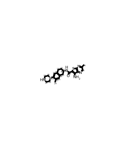 Cc1cnc2c(N)c(C(=O)N[C@@H]3CCc4cc(N5CCNCC5)c(C)cc4C3)sc2n1